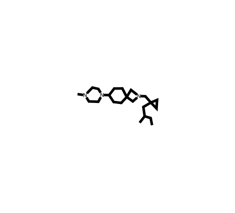 CCC(C)CC1(CN2CC3(CCC(N4CCN(C)CC4)CC3)C2)CC1